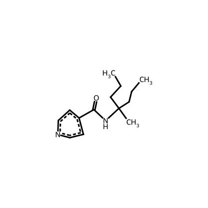 CCCC(C)(CCC)NC(=O)c1ccncc1